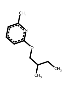 CCC(C)COc1cccc(C)n1